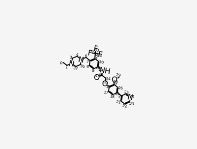 CCN1CCN(Cc2ccc(NC(=O)COc3ccc(-c4cccnc4)cc3OC)cc2C(F)(F)F)CC1